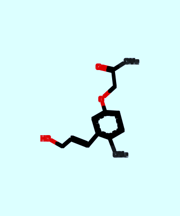 COC(=O)COc1ccc(OC)c(/C=C/CO)c1